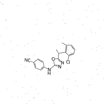 Cc1cccc(Cl)c1C(C)c1nnc(Nc2ccc(C#N)cc2)o1